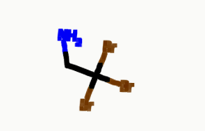 NCC(Br)(Br)Br